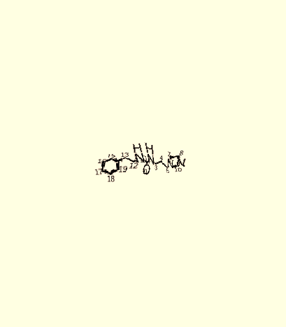 O=C(NCCCn1ccnc1)NCCc1ccccc1